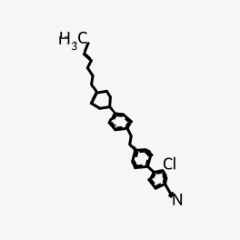 CCCCCCCC1CCC(c2ccc(CCc3ccc(-c4ccc(C#N)cc4Cl)cc3)cc2)CC1